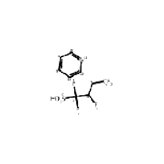 O=S(=O)(O)C(F)(F)C(F)CC(F)(F)F.c1ccncc1